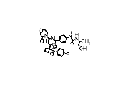 C[C@@H](CO)NC(=O)Nc1ccc(-c2nc(N3CCOC[C@@H]3C)cc(C3(S(=O)(=O)c4ccc(F)cc4)CCC3)n2)cc1